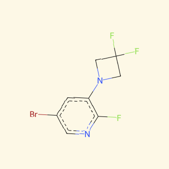 Fc1ncc(Br)cc1N1CC(F)(F)C1